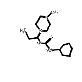 CCC(NC(=S)NC1CCCCC1)N1CCN(C)CC1